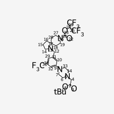 CC(C)(C)OC(=O)CN1CCN(c2cc(CN3CCCC34CCN(C(=O)OC(C(F)(F)F)C(F)(F)F)CC4)cc(C(F)(F)F)c2)CC1